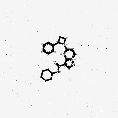 O=C(NC1CCCCC1)c1cnn2ccc(N3CCC3c3ccccc3)nc12